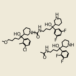 CC(=O)NCCCC(O)(c1cc(F)cc(F)c1)C1CCCNC1.CC(=O)NCCCC(O)(c1cccc(F)c1F)C1CCCNC1.COCCCC[C@@](O)(c1cccc(Cl)c1C)C1CCCNC1